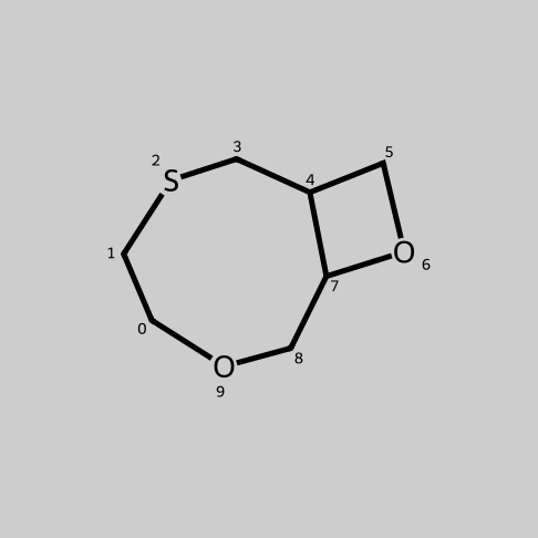 C1CSCC2COC2CO1